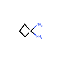 N[Si]1(N)CCC1